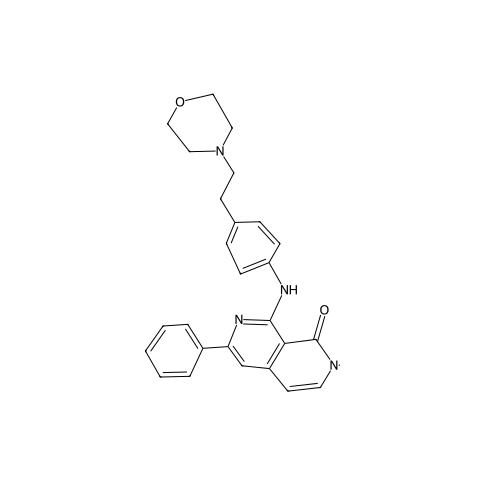 O=C1[N]C=Cc2cc(-c3ccccc3)nc(Nc3ccc(CCN4CCOCC4)cc3)c21